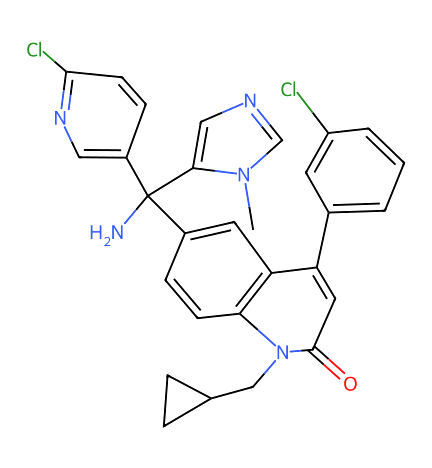 Cn1cncc1C(N)(c1ccc(Cl)nc1)c1ccc2c(c1)c(-c1cccc(Cl)c1)cc(=O)n2CC1CC1